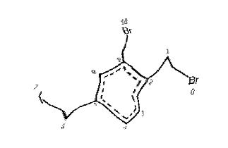 BrCc1ccc(CI)cc1Br